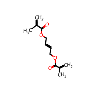 C=C(C)C(=O)OCC=CCOC(=O)C(=C)C